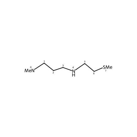 CNCCCNCCSC